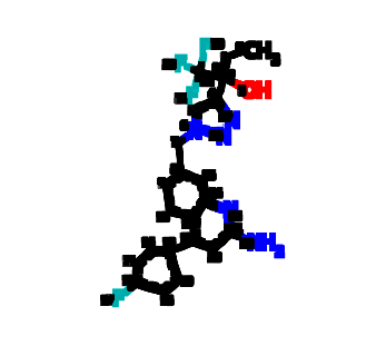 CC[C@](O)(c1cn(Cc2ccc3c(-c4ccc(F)cc4)cc(N)nc3c2)nn1)C(F)(F)F